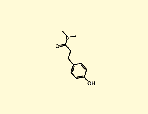 CN(C)C(=O)CCc1ccc(O)cc1